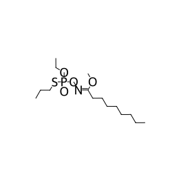 CCCCCCCCC(=NOP(=O)(OCC)SCCC)OC